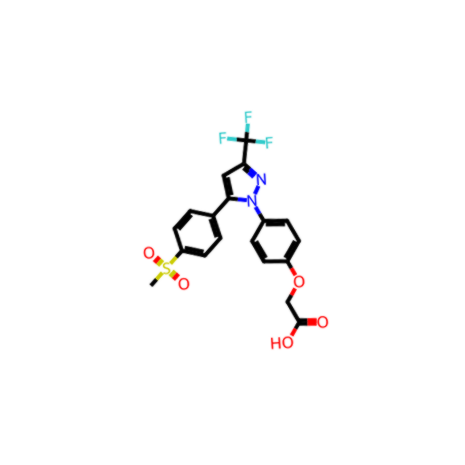 CS(=O)(=O)c1ccc(-c2cc(C(F)(F)F)nn2-c2ccc(OCC(=O)O)cc2)cc1